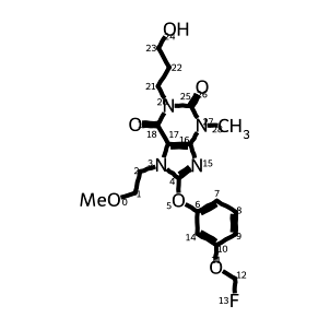 COCCn1c(Oc2cccc(OCF)c2)nc2c1c(=O)n(CCCO)c(=O)n2C